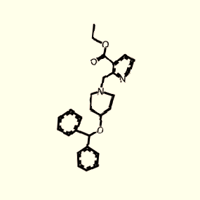 CCOC(=O)c1cccnc1CN1CCC(OC(c2ccccc2)c2ccccc2)CC1